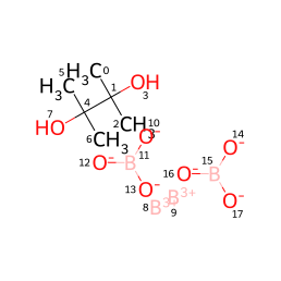 CC(C)(O)C(C)(C)O.[B+3].[B+3].[O-]B([O-])[O-].[O-]B([O-])[O-]